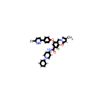 CCc1ccc(-c2ccc(Oc3cc(C(=O)NC4CCN(C5CCCCC5)CC4)c(F)cc3CN3C[C@@H](C)CC3=O)cc2)nn1